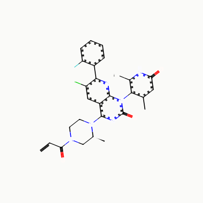 C=CC(=O)N1CCN(c2nc(=O)n(-c3c(C)cc(=O)[nH]c3C(C)C)c3nc(-c4ccccc4F)c(Cl)cc23)[C@@H](C)C1